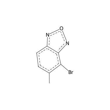 Cc1ccc2nonc2c1Br